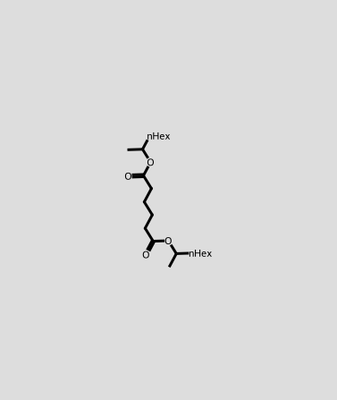 CCCCCCC(C)OC(=O)CCCCC(=O)OC(C)CCCCCC